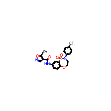 CC(C)c1oncc1C(=O)Nc1ccc2c(c1)S(=O)(=O)N(c1ccc(C(F)(F)F)cc1)CCO2